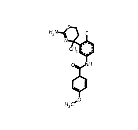 COC1=CCC(C(=O)Nc2ccc(F)c(C3(C)CCSC(N)=N3)c2)C=C1